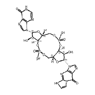 O=c1[nH]cnc2c1ncn2[C@@H]1O[C@@H]2COP(=O)(S)O[C@H]3[C@@H](O)[C@H](n4cnc5c(=O)n6cc[nH]c6nc54)O[C@@H]3COP(=O)(S)O[C@H]2[C@H]1O